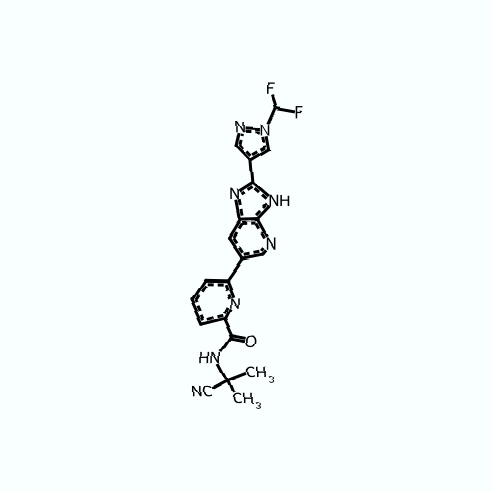 CC(C)(C#N)NC(=O)c1cccc(-c2cnc3[nH]c(-c4cnn(C(F)F)c4)nc3c2)n1